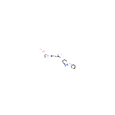 CCNC(=O)O[C@H]1CN[C@H](C#Cc2cc3c(Nc4ccc5c(cnn5Cc5ccccc5)c4)ncnc3s2)C1